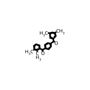 Cc1cc(C)cc(C(=O)c2ccc(C(=O)c3cccc(C)c3C)cc2)c1